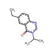 CCc1ccc2ncn(C(C)C)c(=O)c2c1